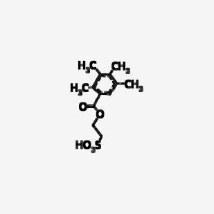 Cc1cc(C(=O)OCCS(=O)(=O)O)c(C)c(C)c1C